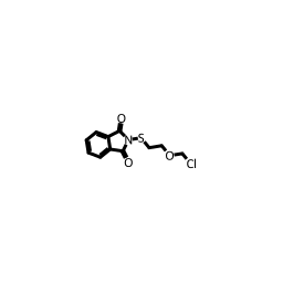 O=C1c2ccccc2C(=O)N1SCCOCCl